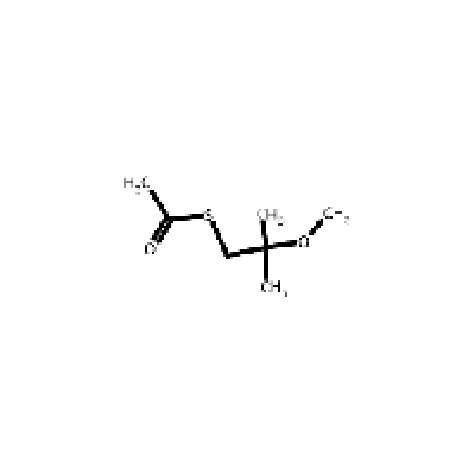 COC(C)(C)CSC(C)=O